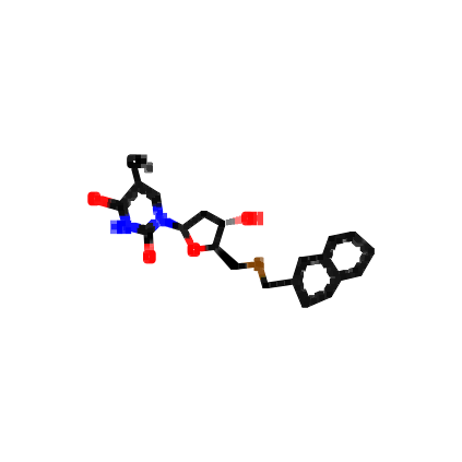 Cc1cn([C@H]2C[C@H](O)[C@@H](CSCc3ccc4ccccc4c3)O2)c(=O)[nH]c1=O